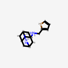 c1csc(CNC23CC4CC(C2)NC(C4)C3)c1